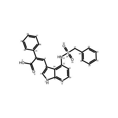 O=C(O)C(=Cc1c[nH]c2nccc(NS(=O)(=O)Cc3ccccc3)c12)c1ccccc1